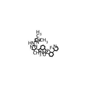 Cc1cnc(Nc2cc(C)n(C)n2)nc1-c1c[nH]c2c(N3Cc4c(cccc4-c4cccnc4F)C3=O)cccc12